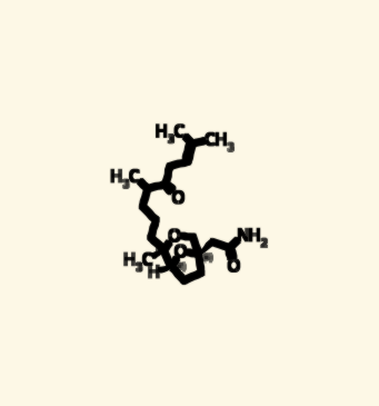 CC(C)=CCC(=O)C(C)CCC[C@]1(C)OC[C@]2(CC(N)=O)CC[C@H]1O2